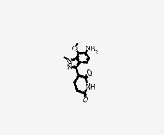 COc1c(N)ccc2c(C3CCC(=O)NC3=O)nn(C)c12